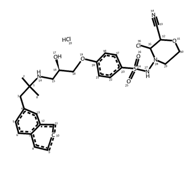 CC(C)(Cc1ccc2ccccc2c1)NC[C@@H](O)COc1ccc(S(=O)(=O)NN2CCOC(C#N)C2Cl)cc1.Cl